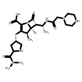 C[C@@H](NC(=O)CN1CCNCC1)[C@H]1C(=O)N2C(C(=O)O)=C(S[C@@H]3CNC(C(=O)N(C)C)C3)[C@H](C)[C@H]12